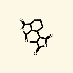 CC1C(=O)OC(=O)C1C1CCCC2C(=O)OC(=O)C21